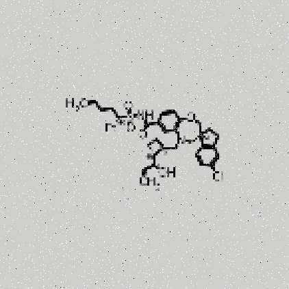 C=CCC[C@@H](CC)S(=O)(=O)NC(=O)c1ccc2c(c1)N(C[C@@H]1CC[C@H]1[C@@H](O)C=C)C[C@@]1(CCc3cc(Cl)ccc31)CO2